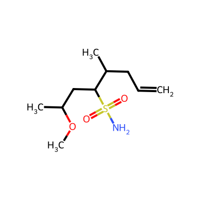 C=CCC(C)C(CC(C)OC)S(N)(=O)=O